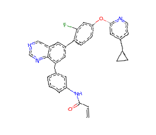 C=CC(=O)Nc1cccc(-c2cc(-c3ccc(Oc4cc(C5CC5)ccn4)cc3F)cc3cncnc23)c1